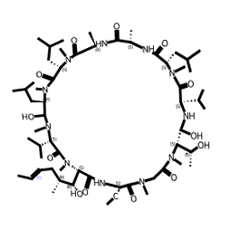 C/C=C/C[C@@H](C)[C@@H](O)[C@H]1C(=O)N[C@@H](CC)C(=O)N(C)CC(=O)N(C)[C@@H]([C@@H](C)O)C(O)N[C@@H](C(C)C)C(=O)N(C)[C@@H](CC(C)C)C(=O)N[C@@H](C)C(=O)N[C@H](C)C(=O)N(C)[C@@H](CC(C)C)C(=O)N(C)[C@H](CC(C)C)C(O)N(C)[C@@H](C(C)C)C(=O)N1C